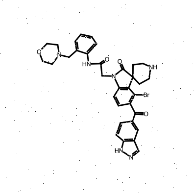 O=C(CN1C(=O)C2(CCNCC2)c2c1ccc(C(=O)c1ccc3[nH]ncc3c1)c2Br)Nc1ccccc1CN1CCOCC1